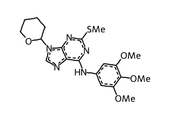 COc1cc(Nc2nc(SC)nc3c2ncn3C2CCCCO2)cc(OC)c1OC